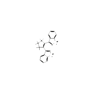 CCC1=C(C2=C(C3=C(CC)S(=O)(=O)c4ccccc43)C(F)(F)C(F)(F)C2(F)F)c2ccccc2S1(=O)=O